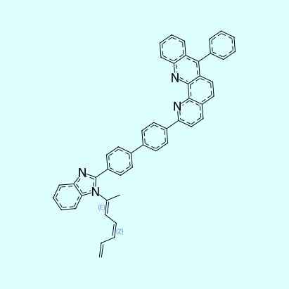 C=C/C=C\C=C(/C)n1c(-c2ccc(-c3ccc(-c4ccc5ccc6c(-c7ccccc7)c7ccccc7nc6c5n4)cc3)cc2)nc2ccccc21